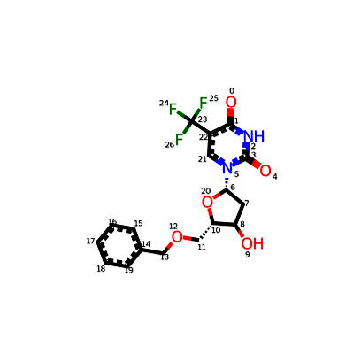 O=c1[nH]c(=O)n([C@@H]2CC(O)[C@H](COCc3ccccc3)O2)cc1C(F)(F)F